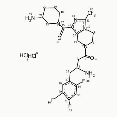 Cl.Cl.NC(CC(=O)N1CCn2c(C(F)(F)F)nc(C(=O)N3CCC[C@@H](N)C3)c2C1)Cc1cc(F)c(F)cc1F